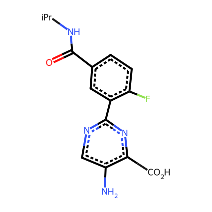 CC(C)NC(=O)c1ccc(F)c(-c2ncc(N)c(C(=O)O)n2)c1